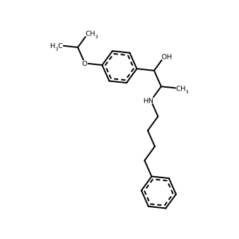 CC(C)Oc1ccc(C(O)C(C)NCCCCc2ccccc2)cc1